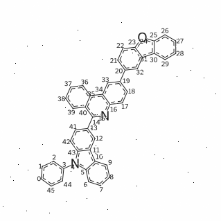 c1ccc(-n2c3ccccc3c3cc(-c4nc5ccc(-c6ccc7oc8ccccc8c7c6)cc5c5ccccc45)ccc32)cc1